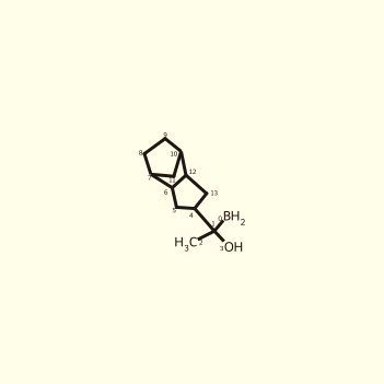 BC(C)(O)C1CC2C3CCC(C3)C2C1